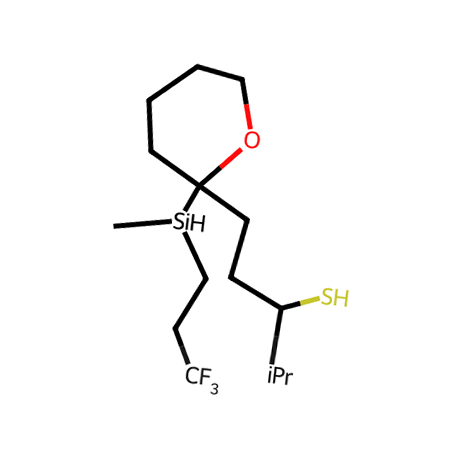 CC(C)C(S)CCC1([SiH](C)CCC(F)(F)F)CCCCO1